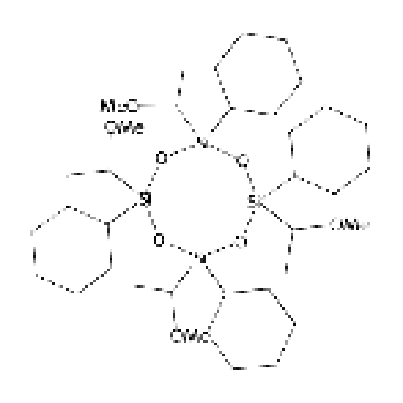 COC(C)[Si]1(C2CCCCC2)O[Si](C2CCCCC2)(C(C)OC)O[Si](C2CCCCC2)(C(C)OC)O[Si](C2CCCCC2)(C(C)OC)O1